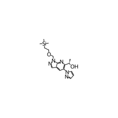 C[C@@H](O)c1nc2c(cnn2COCC[Si](C)(C)C)cc1-n1cccn1